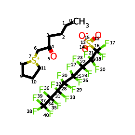 CCCCC(=O)C[S+]1CCCC1.O=S(=O)([O-])C(F)(F)C(F)(F)C(F)(F)C(F)(F)C(F)(F)C(F)(F)C(F)(F)C(F)(F)F